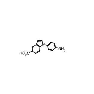 Nc1ccc(-n2ccc3cc(C(=O)O)ccc32)cc1